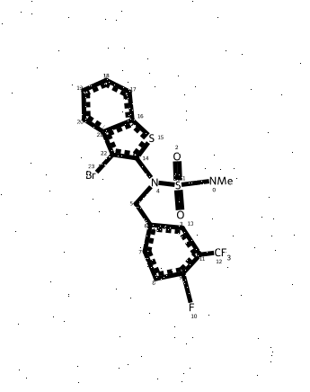 CNS(=O)(=O)N(Cc1ccc(F)c(C(F)(F)F)c1)c1sc2ccccc2c1Br